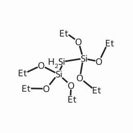 CCO[Si](OCC)(OCC)[SiH2][Si](OCC)(OCC)OCC